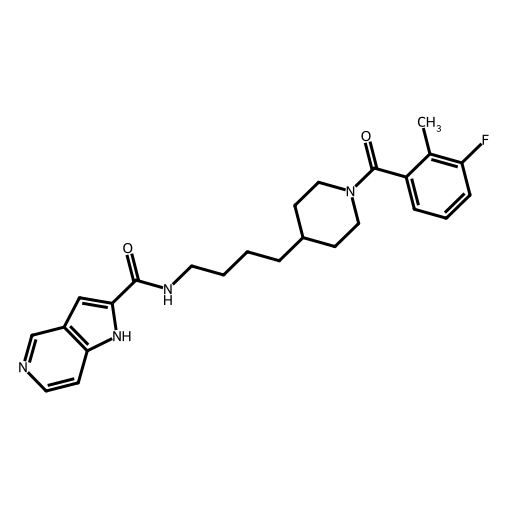 Cc1c(F)cccc1C(=O)N1CCC(CCCCNC(=O)c2cc3cnccc3[nH]2)CC1